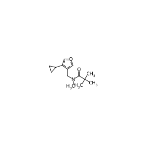 CN(Cc1cocc1C1CC1)C(=O)C(C)(C)C